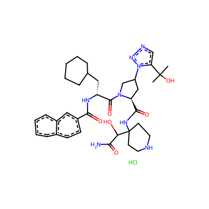 CC(C)(O)c1cnnn1C1C[C@@H](C(=O)NC2(C(O)C(N)=O)CCNCC2)N(C(=O)[C@@H](CC2CCCCC2)NC(=O)c2ccc3ccccc3c2)C1.Cl